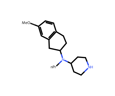 CCCN(C1CCNCC1)C1CCc2ccc(OC)cc2C1